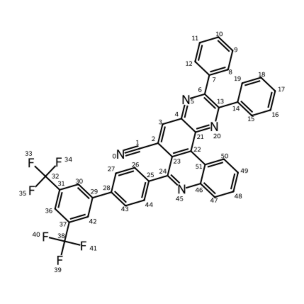 N#Cc1cc2nc(-c3ccccc3)c(-c3ccccc3)nc2c2c1c(-c1ccc(-c3cc(C(F)(F)F)cc(C(F)(F)F)c3)cc1)nc1ccccc12